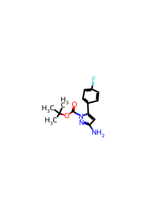 CC(C)(C)OC(=O)n1nc(N)cc1-c1ccc(F)cc1